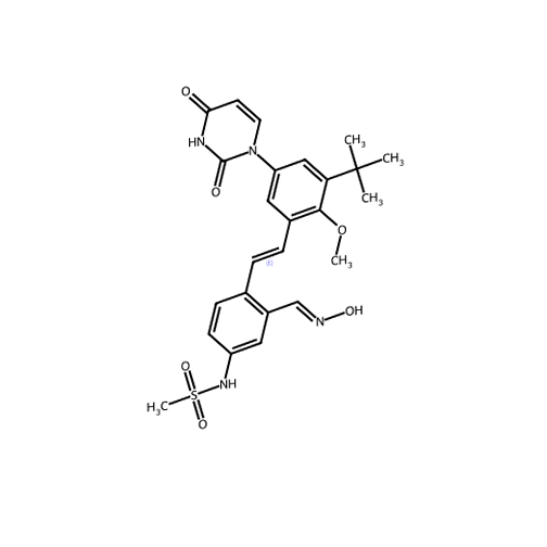 COc1c(/C=C/c2ccc(NS(C)(=O)=O)cc2C=NO)cc(-n2ccc(=O)[nH]c2=O)cc1C(C)(C)C